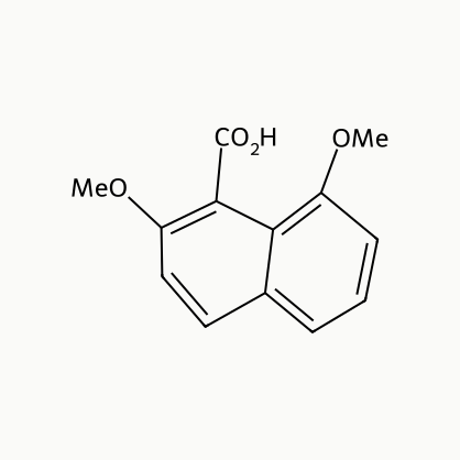 COc1ccc2cccc(OC)c2c1C(=O)O